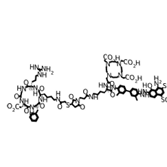 Cc1cc(-c2ccc(NC(=O)[C@@H](CCCCNC(=O)CCN3C(=O)CC(SCC(=O)NCCCC[C@H]4NC(=O)[C@H](Cc5ccccc5)NC(=O)[C@H](CC(=O)O)NC(=O)CNC(=O)[C@H](CCCNC(=N)N)NC4=O)C3=O)NC(=O)CN3CCN(CC(=O)O)CCN(CC(=O)O)CCN(CC(=O)O)CC3)c(C)c2)ccc1NNc1ccc2c(S(=O)(=O)O)cc(S(=O)(=O)O)c(N)c2c1O